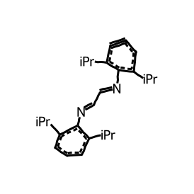 CC(C)c1c#ccc(C(C)C)c1/N=C/C=N/c1c(C(C)C)cccc1C(C)C